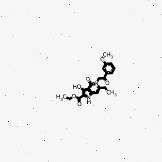 CCOC(=O)c1[nH]c2cc(CC)n(CC(=O)c3cccc(OC)c3)c(=O)c2c1O